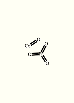 [O]=[Ce].[O]=[Pr](=[O])=[O]